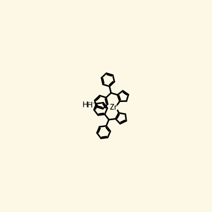 C1=CC(C(c2ccccc2)c2ccccc2)=[C]([Zr][C]2=C(C(c3ccccc3)c3ccccc3)C=CC2)C1.[H-].[H-]